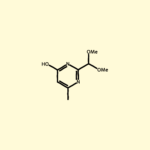 COC(OC)c1nc(C)cc(O)n1